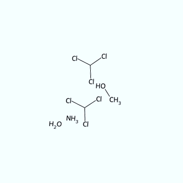 CO.ClC(Cl)Cl.ClC(Cl)Cl.N.O